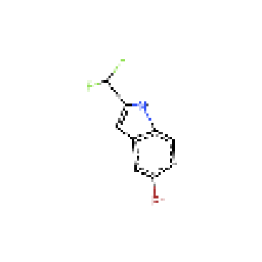 FC(F)C1=Cc2cc(Br)ccc2[N]1